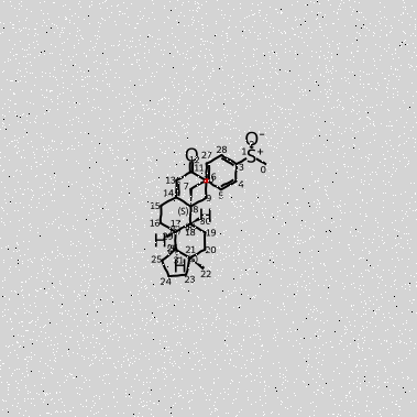 C[S+]([O-])c1ccc(C[C@]23CCC(=O)C=C2CC[C@@H]2[C@H]3CC[C@]3(C)CCC[C@@H]23)cc1